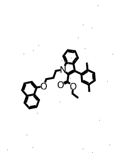 CCOC(=O)c1c(-c2cc(C)ccc2C)c2ccccc2n1CCCOc1cccc2ccccc12